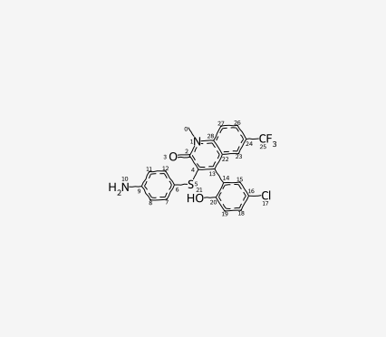 Cn1c(=O)c(Sc2ccc(N)cc2)c(-c2cc(Cl)ccc2O)c2cc(C(F)(F)F)ccc21